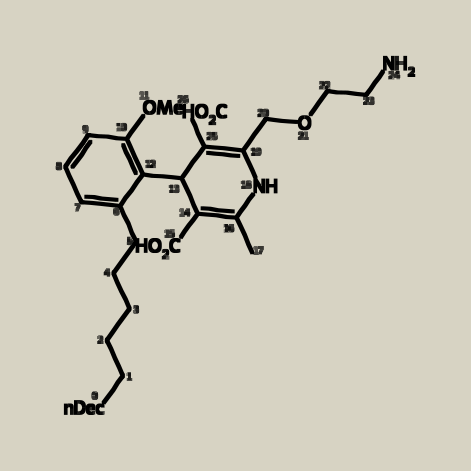 CCCCCCCCCCCCCCCc1cccc(OC)c1C1C(C(=O)O)=C(C)NC(COCCN)=C1C(=O)O